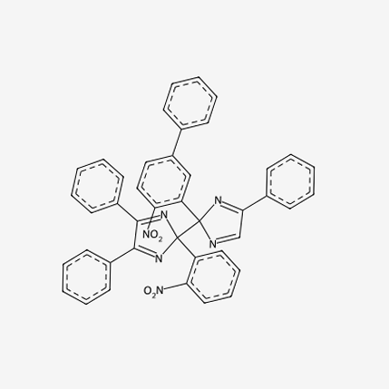 O=[N+]([O-])c1ccc(-c2ccccc2)cc1C1(C2(c3ccccc3[N+](=O)[O-])N=C(c3ccccc3)C(c3ccccc3)=N2)N=CC(c2ccccc2)=N1